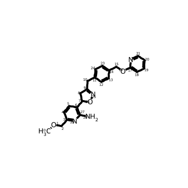 COCc1ccc(C2CC(Cc3ccc(COc4ccccn4)cc3)=NO2)c(N)n1